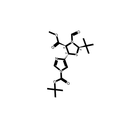 COC(=O)[C@@H]1[C@@H](c2cn(C(=O)OC(C)(C)C)cn2)S[C@H](C(C)(C)C)N1C=O